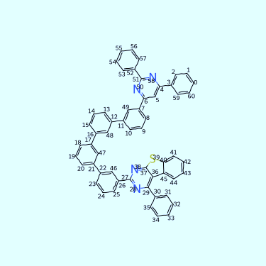 c1ccc(-c2cc(-c3cccc(-c4cccc(-c5cccc(-c6cccc(-c7nc(-c8ccccc8)c8c(n7)sc7ccccc78)c6)c5)c4)c3)nc(-c3ccccc3)n2)cc1